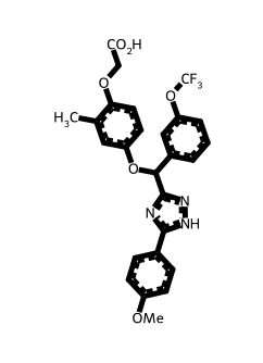 COc1ccc(-c2nc(C(Oc3ccc(OCC(=O)O)c(C)c3)c3cccc(OC(F)(F)F)c3)n[nH]2)cc1